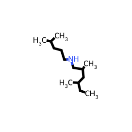 CCC(C)CC(C)CNCCCC(C)C